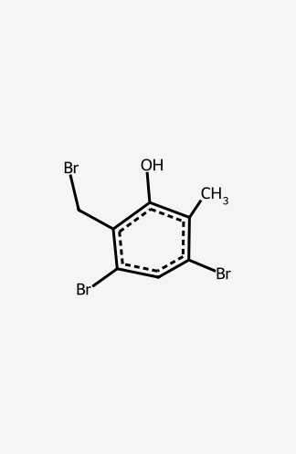 Cc1c(Br)cc(Br)c(CBr)c1O